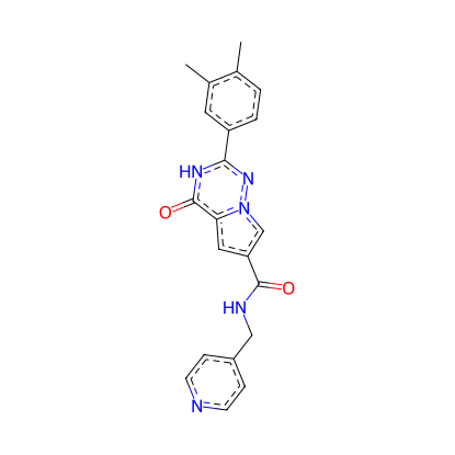 Cc1ccc(-c2nn3cc(C(=O)NCc4ccncc4)cc3c(=O)[nH]2)cc1C